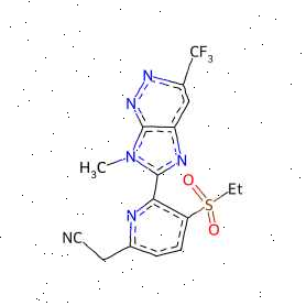 CCS(=O)(=O)c1ccc(CC#N)nc1-c1nc2cc(C(F)(F)F)nnc2n1C